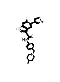 CC1CCN(Cc2ccc(NC(=O)c3n[nH]c4cc(F)c(-c5cnn(C)c5)cc34)cc2)CC1